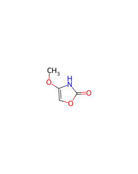 COc1coc(=O)[nH]1